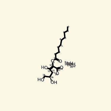 CCCCCCCCCC(=O)OC1=C(O)[C@@H]([C@@H](O)CO)OC1=O.[Cu].[NaH].[NaH]